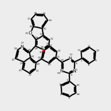 c1ccc(-c2nc(-c3ccccc3)nc(-c3cccc(-c4cccc5ccnc(-c6nccc7c6oc6ccccc67)c45)c3)n2)cc1